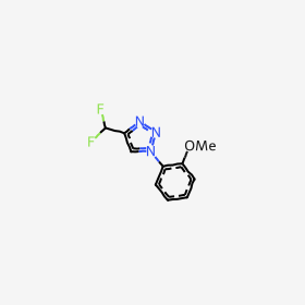 COc1ccccc1-n1cc(C(F)F)nn1